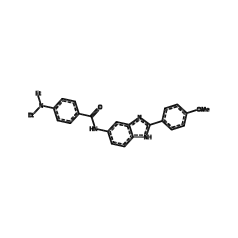 CCN(CC)c1ccc(C(=O)Nc2ccc3[nH]c(-c4ccc(OC)cc4)nc3c2)cc1